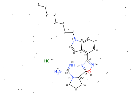 CCCCCCCCn1ccc2c(-c3noc(C4CCCN4C(=N)N)n3)cccc21.Cl